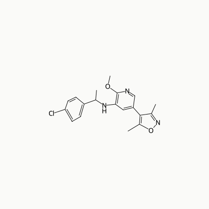 COc1ncc(-c2c(C)noc2C)cc1NC(C)c1ccc(Cl)cc1